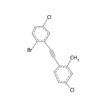 Cc1cc(Cl)ccc1C#Cc1cc(Cl)ccc1Br